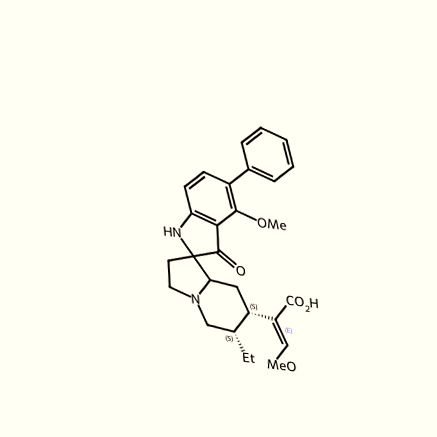 CC[C@@H]1CN2CCC3(Nc4ccc(-c5ccccc5)c(OC)c4C3=O)C2C[C@@H]1/C(=C\OC)C(=O)O